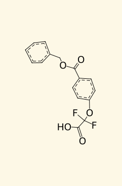 O=C(OCc1ccccc1)c1ccc(OC(F)(F)C(=O)O)cc1